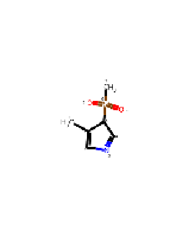 CC1=CN=CC1S(C)(=O)=O